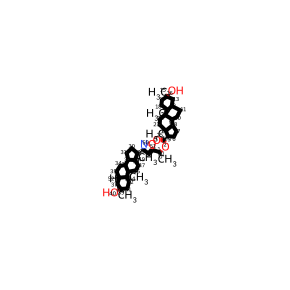 C[C@H](OC(=O)[C@@H]1CCC2C3CCC4C[C@@](C)(O)CC[C@]4(C)C3CC[C@@]21C)c1cc([C@H]2CCC3C4CC[C@H]5C[C@](C)(O)CC[C@]5(C)C4CC[C@@]32C)no1